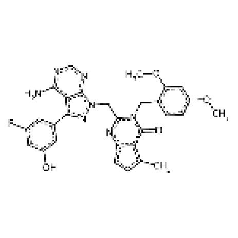 COc1ccc(Cn2c(Cn3nc(-c4cc(O)cc(F)c4)c4c(N)ncnc43)nn3ccc(C)c3c2=O)c(OC)c1